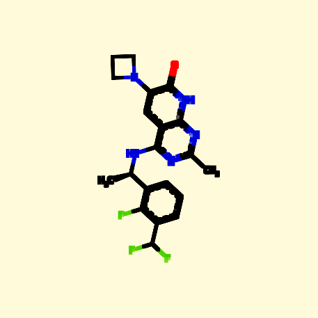 Cc1nc(N[C@H](C)c2cccc(C(F)F)c2F)c2cc(N3CCC3)c(=O)[nH]c2n1